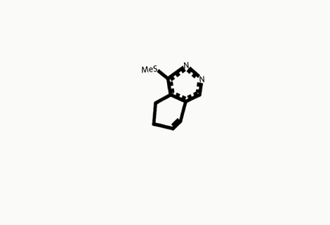 CSc1nncc2c1CCC=C2